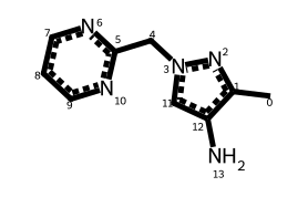 Cc1nn(Cc2ncccn2)cc1N